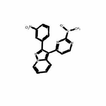 C[S+]([O-])c1nccc(-c2c(-c3cccc([N+](=O)[O-])c3)nn3ccccc23)n1